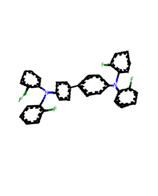 Fc1ccccc1N(c1ccc(-c2ccc(N(c3ccccc3F)c3ccccc3F)cc2)cc1)c1ccccc1F